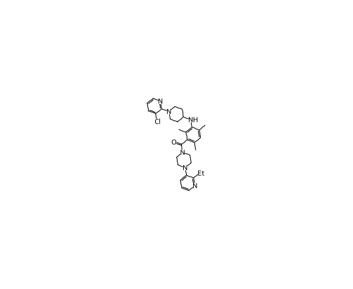 CCc1ncccc1N1CCN(C(=O)c2c(C)cc(C)c(NC3CCN(c4ncccc4Cl)CC3)c2C)CC1